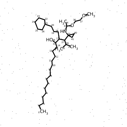 CCCCCCCCCCCCCCCC(O)C(CCCC1CCCCC1)C(C(C)C)C1(NC(C)OCCOC)CC1